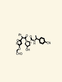 CC(NC(=O)[C@@H]1C[C@@H](O)CN1C(=O)C(c1cc(OCC=O)no1)C(C)C)c1ccc(C#N)cc1